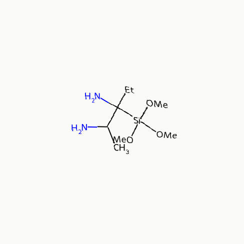 CCC(N)(C(C)N)[Si](OC)(OC)OC